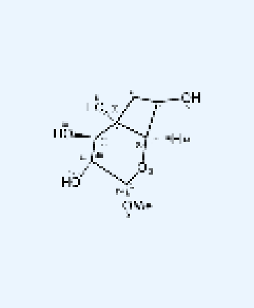 CO[C@H]1O[C@@H]2C(O)C[C@]2(O)[C@H](O)[C@H]1O